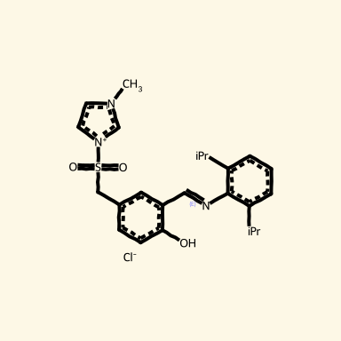 CC(C)c1cccc(C(C)C)c1/N=C/c1cc(CS(=O)(=O)[n+]2ccn(C)c2)ccc1O.[Cl-]